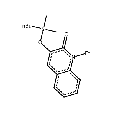 CCCC[Si](C)(C)Oc1cc2ccccc2n(CC)c1=O